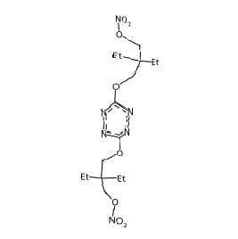 CCC(CC)(COc1nnc(OCC(CC)(CC)CO[N+](=O)[O-])nn1)CO[N+](=O)[O-]